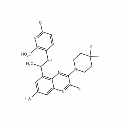 Cc1cc(C(C)Nc2ccc(Cl)nc2C(=O)O)c2nc(N3CCC(F)(F)CC3)c(Cl)nc2c1